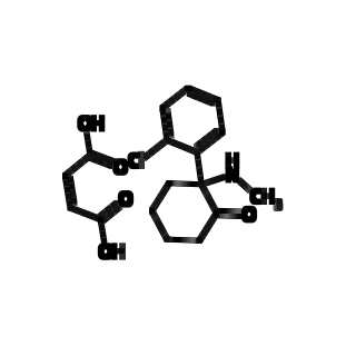 CNC1(c2ccccc2Cl)CCCCC1=O.O=C(O)/C=C\C(=O)O